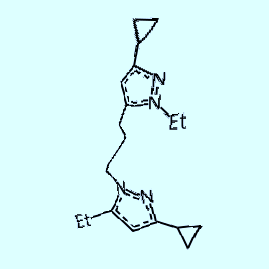 CCc1cc(C2CC2)nn1CCCc1cc(C2CC2)nn1CC